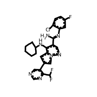 N/C(=N\c1cc(F)ccc1Cl)c1cnn2cc(-c3cncnc3C(F)F)cc2c1NC1CCCCC1